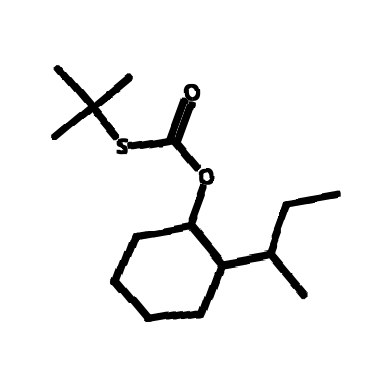 CCC(C)C1CCCCC1OC(=O)SC(C)(C)C